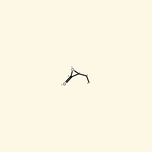 [CH2]CC1OC1=O